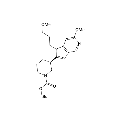 COCCCn1c([C@@H]2CCCN(C(=O)OC(C)(C)C)C2)cc2cnc(OC)cc21